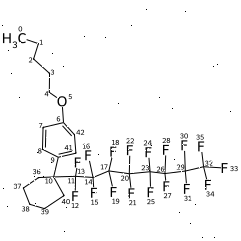 CCCCCOc1ccc(C2(C(F)(F)C(F)(F)C(F)(F)C(F)(F)C(F)(F)C(F)(F)C(F)(F)C(F)(F)F)CCCCC2)cc1